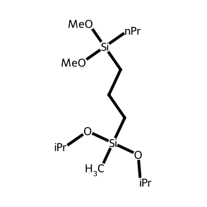 [CH2]CC[Si](CCC[Si](C)(OC(C)C)OC(C)C)(OC)OC